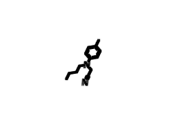 CCCCN(CC#N)c1ccc(C)cc1